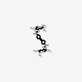 C=CC(C)(CCC=C(C)C)OC(=O)NC1CCC2(CC1)C1C2C12CCC(NC(=O)OC(C)(C=C)CCC=C(C)C)CC2